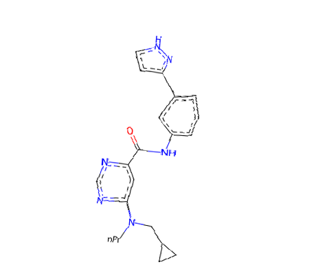 CCCN(CC1CC1)c1cc(C(=O)Nc2cccc(-c3cc[nH]n3)c2)ncn1